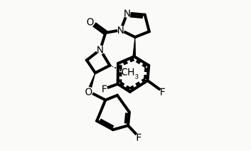 C[C@@H]1[C@@H](OC2C=CC(F)=CC2)CN1C(=O)N1N=CC[C@H]1c1cc(F)cc(F)c1